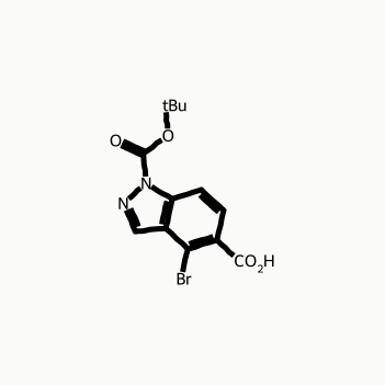 CC(C)(C)OC(=O)n1ncc2c(Br)c(C(=O)O)ccc21